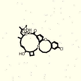 COC(C)CC1C(C)C/C=C/C(O)C2CCC2CN2CCCCc3cc(Cl)ccc3COc3ccc(cc32)C(=O)NS1(=O)=O